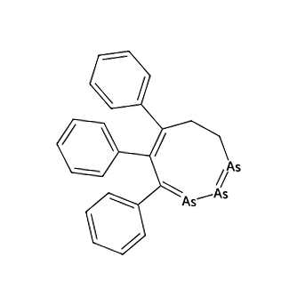 c1ccc(C2=[As]/[As]=[As]\CC/C(c3ccccc3)=C\2c2ccccc2)cc1